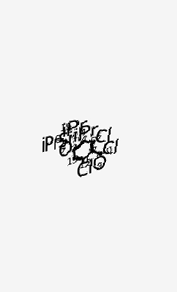 CC(C)[Si](Oc1cc(Cl)c(C(=O)Cl)c(Cl)c1)(C(C)C)C(C)C